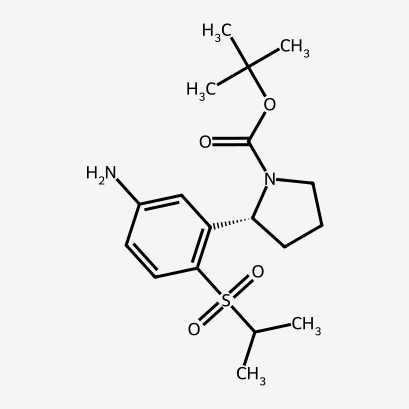 CC(C)S(=O)(=O)c1ccc(N)cc1[C@H]1CCCN1C(=O)OC(C)(C)C